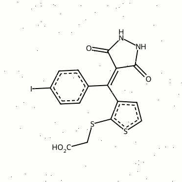 O=C(O)CSc1sccc1C(=C1C(=O)NNC1=O)c1ccc(I)cc1